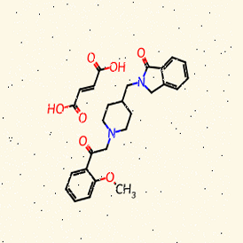 COc1ccccc1C(=O)CN1CCC(CN2Cc3ccccc3C2=O)CC1.O=C(O)/C=C/C(=O)O